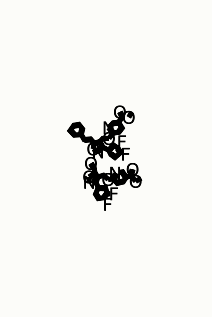 COC(=O)c1ccc(OCc2c(-c3ccc(F)c(F)c3)noc2/C=C/c2ccccc2)nc1.COC(=O)c1ccc(OCc2c(-c3ccc(F)c(F)c3)noc2C=O)nc1